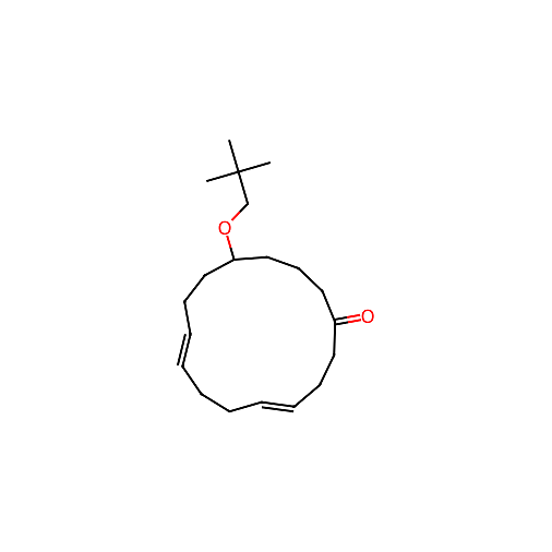 CC(C)(C)COC1CC/C=C/CC/C=C/CCC(=O)CCC1